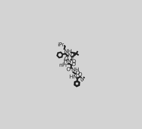 CCCC(NC(=O)[C@@H]1C2C(CN1C(=O)[C@@H](NCCC(C)C)C1CCCCC1)C2(C)C)C(=O)C(=O)NCC(=O)N[C@H](C(=O)N(C)C)c1ccccc1